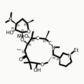 CCN1CCC[C@@H]([C@@H]2COC(O)C(C)(C)C(=O)[C@H](C)[C@@H](O[C@@H]3O[C@H](C)C[C@H](N(C)C)[C@H]3O)[C@](C)(OC)C[C@@H](C)CN2C)C1